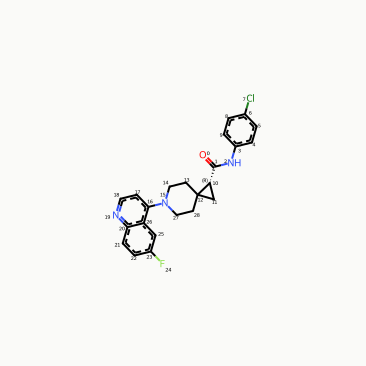 O=C(Nc1ccc(Cl)cc1)[C@@H]1CC12CCN(c1ccnc3ccc(F)cc13)CC2